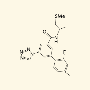 CSCC(C)NC(=O)c1cc(-c2ccc(C)cc2F)cc(-n2cnnn2)c1